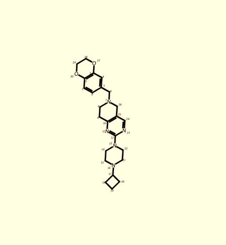 c1cc2c(cc1CN1CCc3nc(N4CCN(C5CCC5)CC4)ncc3C1)OCCO2